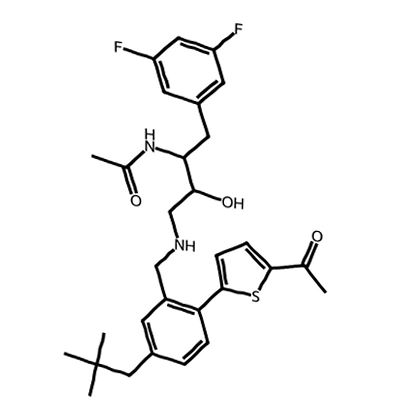 CC(=O)NC(Cc1cc(F)cc(F)c1)C(O)CNCc1cc(CC(C)(C)C)ccc1-c1ccc(C(C)=O)s1